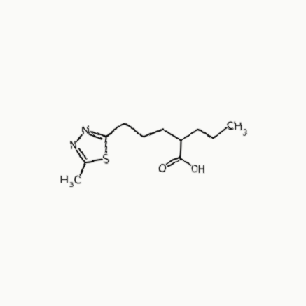 CCCC(CCCc1nnc(C)s1)C(=O)O